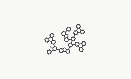 c1ccc(-c2cccc3c2sc2c(-c4cc(-c5ccc6c7ccccc7c7ccccc7c6c5)ccc4-c4ccc(-c5cccc6c5sc5cc(-c7cc(-c8ccc9c%10ccccc%10c%10ccccc%10c9c8)c8sc9ccccc9c8c7)ccc56)cc4-c4ccc5c6ccccc6c6ccccc6c5c4)cccc23)cc1